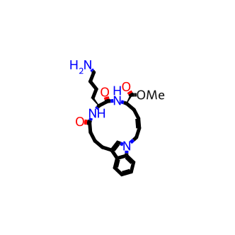 COC(=O)[C@H]1CC=CCn2cc(c3ccccc32)CCCC(=O)N[C@@H](CCCCN)C(=O)N1